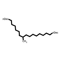 CCCCCCCCCCCCCCC[CH]C(C)CCCCCCCCCCCCCCCCCC